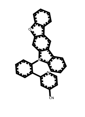 N#Cc1ccnc(-c2ccccc2-n2c3ccccc3c3cc4c(cc32)oc2ccccc24)c1